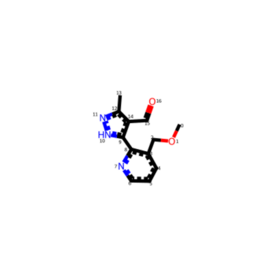 COCc1cccnc1-c1[nH]nc(C)c1C=O